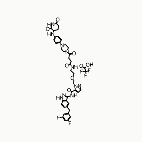 O=C(CCC(=O)N1CCN(c2ccc(NC3CCC(=O)NC3=O)cc2)CC1)NCCOCCn1nccc1C(=O)Nc1n[nH]c2ccc(Cc3cc(F)cc(F)c3)cc12.O=C(O)C(F)(F)F